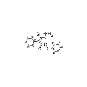 NCC(=S)N(C(=O)OCc1ccccc1)c1ccccc1